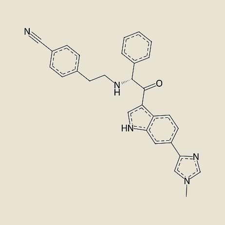 Cn1cnc(-c2ccc3c(C(=O)[C@H](NCCc4ccc(C#N)cc4)c4ccccc4)c[nH]c3c2)c1